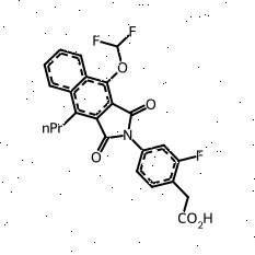 CCCc1c2c(c(OC(F)F)c3ccccc13)C(=O)N(c1ccc(CC(=O)O)c(F)c1)C2=O